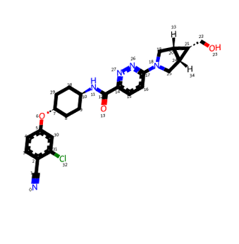 N#Cc1ccc(O[C@H]2CC[C@H](NC(=O)c3ccc(N4C[C@@H]5[C@H](CO)[C@@H]5C4)nn3)CC2)cc1Cl